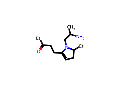 CCC(=O)CCC1=CCC(CC)N1CC(C)N